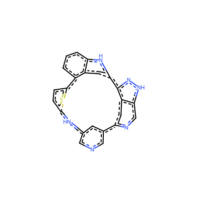 c1cc2[nH]c3cc2c(c1)c1ccc([nH]c2cncc(c2)c2cc4c(cn2)[nH]nc34)s1